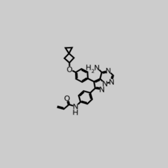 C=CC(=O)Nc1ccc(-c2nn3ncnc(N)c3c2-c2ccc(OC3CC4(CC4)C3)cc2)cc1